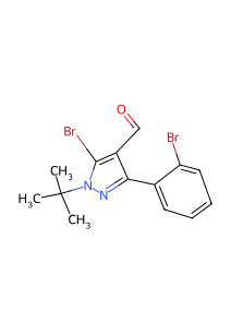 CC(C)(C)n1nc(-c2ccccc2Br)c(C=O)c1Br